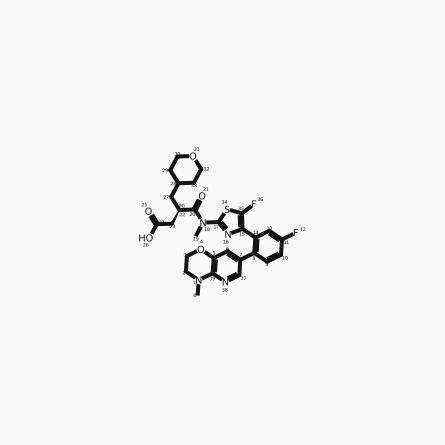 CN1CCOc2cc(-c3ccc(F)cc3-c3nc(N(C)C(=O)[C@@H](CC(=O)O)CC4CCOCC4)sc3F)cnc21